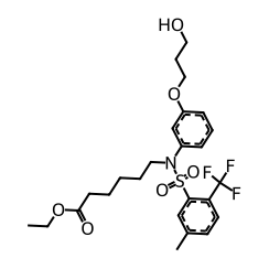 CCOC(=O)CCCCCN(c1cccc(OCCCO)c1)S(=O)(=O)c1cc(C)ccc1C(F)(F)F